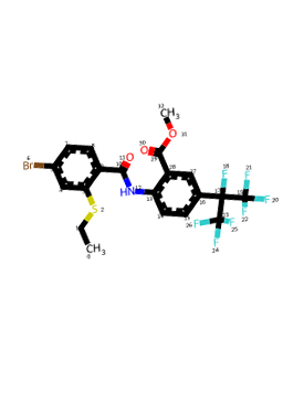 CCSc1cc(Br)ccc1C(=O)Nc1ccc(C(F)(C(F)(F)F)C(F)(F)F)cc1C(=O)OC